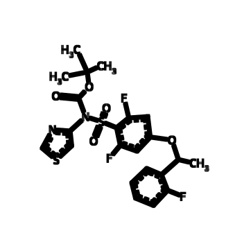 CC(Oc1cc(F)c(S(=O)(=O)N(C(=O)OC(C)(C)C)c2cscn2)c(F)c1)c1ccccc1F